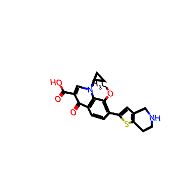 COc1c(-c2cc3c(s2)CCNC3)ccc2c(=O)c(C(=O)O)cn(C3CC3)c12